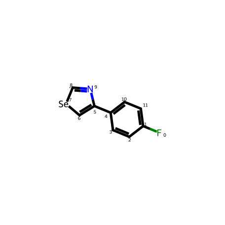 Fc1ccc(-c2c[se][c]n2)cc1